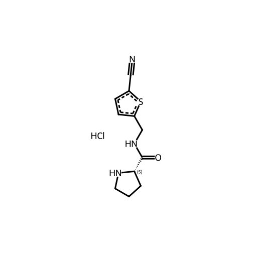 Cl.N#Cc1ccc(CNC(=O)[C@@H]2CCCN2)s1